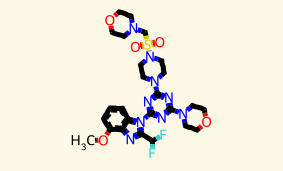 COc1cccc2c1nc(C(F)F)n2-c1nc(N2CCOCC2)nc(N2CCN(S(=O)(=O)CN3CCOCC3)CC2)n1